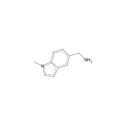 Cn1ccc2cc(CN)ccc21